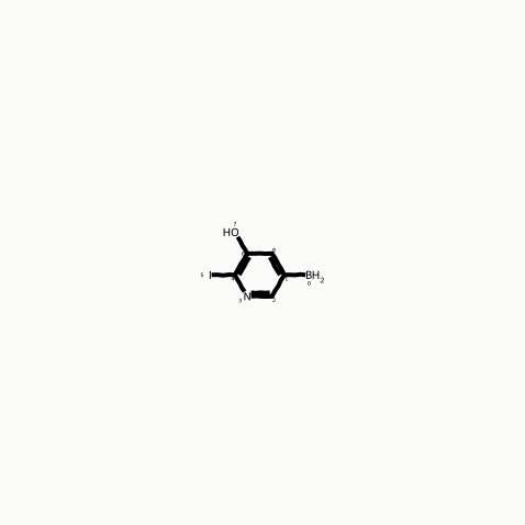 Bc1cnc(I)c(O)c1